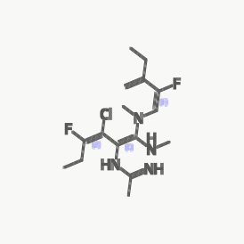 C=C(CC)/C(F)=C\N(C)/C(NC)=C(NC(C)=N)\C(Cl)=C(\F)CC